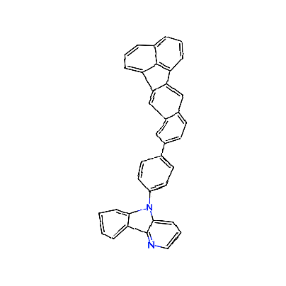 c1cc2c3c(cccc3c1)-c1cc3cc(-c4ccc(-n5c6ccccc6c6ncccc65)cc4)ccc3cc1-2